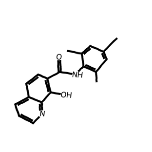 Cc1cc(C)c(NC(=O)c2ccc3cccnc3c2O)c(C)c1